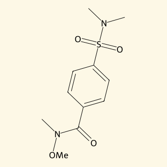 CON(C)C(=O)c1ccc(S(=O)(=O)N(C)C)cc1